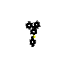 Cc1ccc(CSc2ccc([SiH](c3ccccc3)c3ccccc3)cc2)cc1